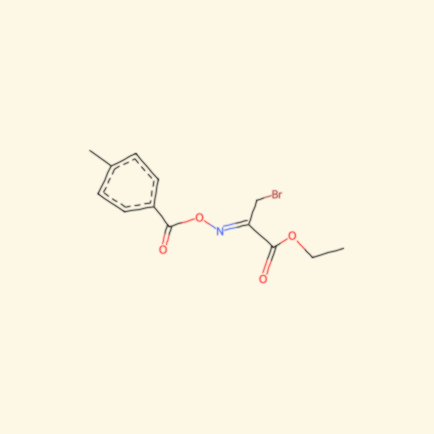 CCOC(=O)C(CBr)=NOC(=O)c1ccc(C)cc1